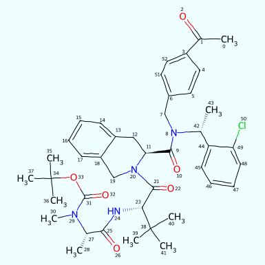 CC(=O)c1ccc(CN(C(=O)[C@@H]2Cc3ccccc3CN2C(=O)[C@@H](NC(=O)[C@H](C)N(C)C(=O)OC(C)(C)C)C(C)(C)C)[C@H](C)c2ccccc2Cl)cc1